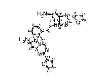 NC1=N[N+]2(NCCc3ccccc3O[N+]34C=NC(c5ccco5)=NC3=CC(N)=N4)C=NC(c3ccco3)=NC2=C1